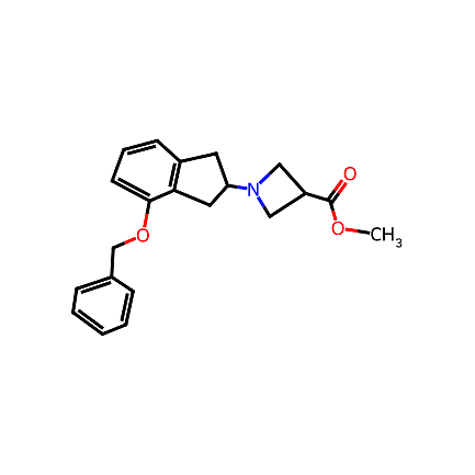 COC(=O)C1CN(C2Cc3cccc(OCc4ccccc4)c3C2)C1